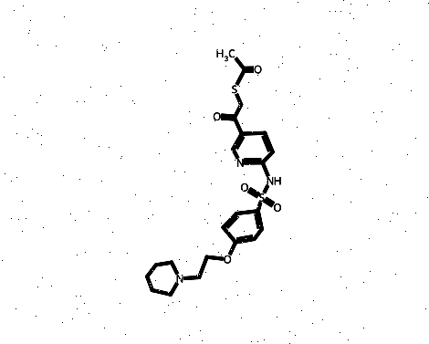 CC(=O)SCC(=O)c1ccc(NS(=O)(=O)c2ccc(OCCN3CCCCC3)cc2)nc1